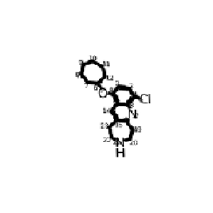 Clc1ccc(OC2CCCCCC2)c2cc3c(nc12)CCNCC3